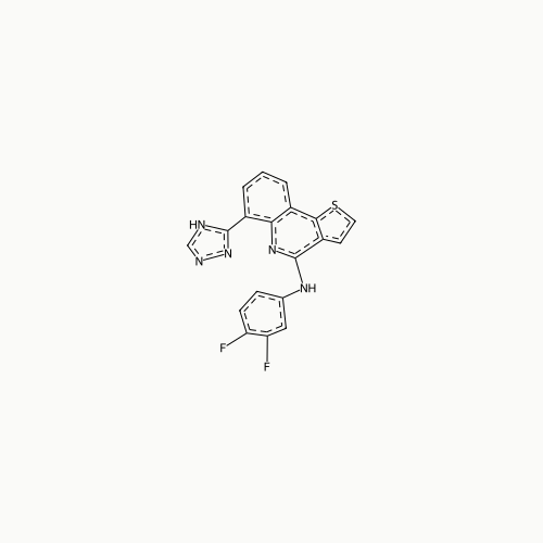 Fc1ccc(Nc2nc3c(-c4nnc[nH]4)cccc3c3sccc23)cc1F